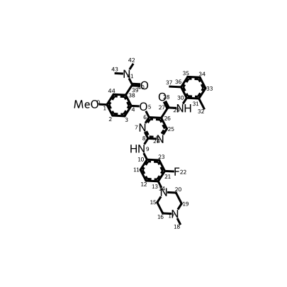 COc1ccc(Oc2nc(Nc3ccc(N4CCN(C)CC4)c(F)c3)ncc2C(=O)Nc2c(C)cccc2C)c(C(=O)N(C)C)c1